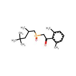 Cc1cccc(C)c1C(=O)C[PH](=O)CC(C)CC(C)(C)C